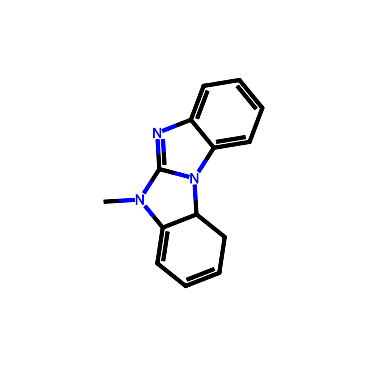 CN1C2=CC=CCC2n2c1nc1ccccc12